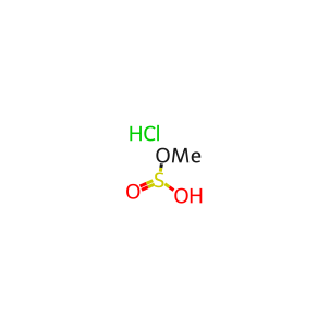 COS(=O)O.Cl